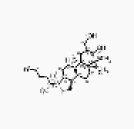 CC(C)CCC[C@@H](C)[C@H]1CC=C2C3=C(CC[C@@]21C)[C@@]1(C)C[C@@H](CO)[C@@H](O)C(C)(C)[C@@H]1CC3